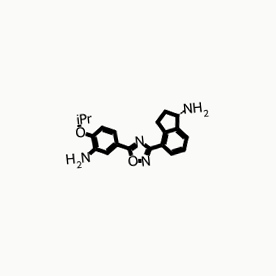 CC(C)Oc1ccc(-c2nc(-c3cccc4c3CC[C@@H]4N)no2)cc1N